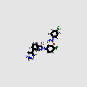 O=C(Nc1ccc(F)c(SNc2ccc(Cl)cc2)c1)c1cccc(-c2cncnc2)c1